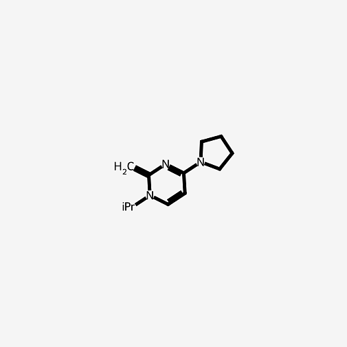 C=C1N=C(N2CCCC2)C=CN1C(C)C